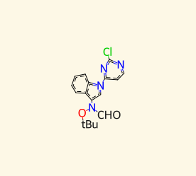 CC(C)(C)ON(C=O)c1cn(-c2ccnc(Cl)n2)c2ccccc12